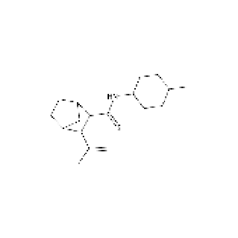 C=C(C)C1C2CCC(C2)C1C(=S)NC1CCC(C)CC1